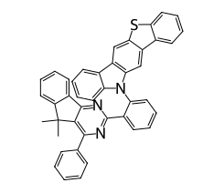 CC1(C)c2ccccc2-c2nc(-c3ccccc3-n3c4ccccc4c4cc5sc6ccccc6c5cc43)nc(-c3ccccc3)c21